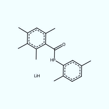 Cc1ccc(C)c(PC(=O)c2c(C)cc(C)c(C)c2C)c1.[LiH]